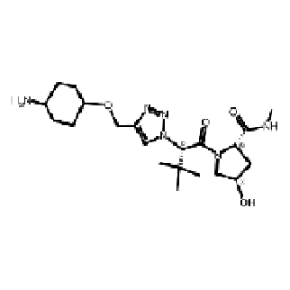 CNC(=O)[C@@H]1C[C@@H](O)CN1C(=O)[C@@H](n1cc(COC2CCC(N)CC2)nn1)C(C)(C)C